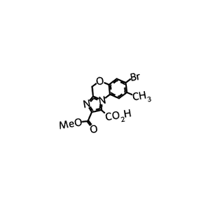 COC(=O)c1nc2n(c1C(=O)O)-c1cc(C)c(Br)cc1OC2